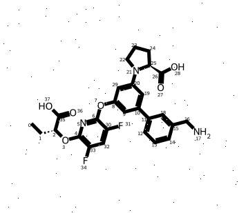 CC[C@@H](Oc1nc(Oc2cc(-c3cccc(CN)c3)cc(N3CCC[C@H]3C(=O)O)c2)c(F)cc1F)C(=O)O